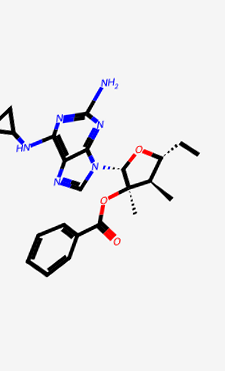 CC[C@H]1O[C@@H](n2cnc3c(NC4CC4)nc(N)nc32)[C@](C)(OC(=O)c2ccccc2)[C@@H]1C